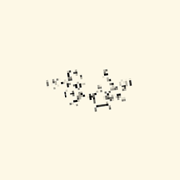 CC(C)(C)OC(=O)N1CC[C@](F)(C(=O)O)C1